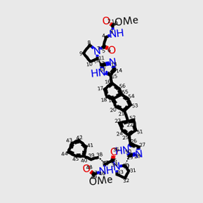 COC(=O)NCC(=O)N1CCC[C@H]1c1ncc(-c2ccc3cc(-c4ccc(-c5cnc([C@@H]6CCCN6C(=O)[C@@H](CCc6ccccc6)NC(=O)OC)[nH]5)cc4)ccc3c2)[nH]1